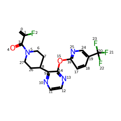 C=C(F)C(=O)N1CCC(c2nccnc2Oc2ccc(C(F)(F)F)cn2)CC1